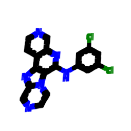 Clc1cc(Cl)cc(Nc2nc3cnccc3c3nc4cnccn4c23)c1